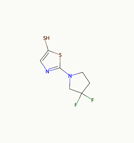 FC1(F)CCN(c2ncc(S)s2)C1